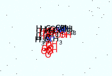 CC(=O)O.CC(=O)O.CC(=O)O.C[N+](C)(C)CCO.C[N+](C)(C)CCO.C[N+](C)(C)CCO.O=C([O-])CC(O)(CC(=O)[O-])C(=O)[O-]